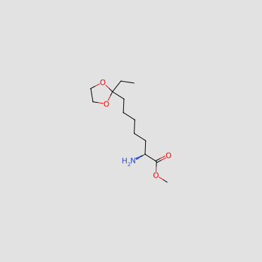 CCC1(CCCCC[C@H](N)C(=O)OC)OCCO1